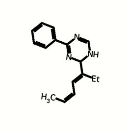 C/C=C\C=C(/CC)C1N=C(c2ccccc2)N=CN1